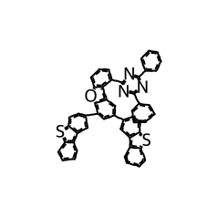 c1ccc(-c2nc(-c3ccccc3)nc(-c3cccc4oc5c(-c6ccc7sc8ccccc8c7c6)cc(-c6ccc7sc8ccccc8c7c6)cc5c34)n2)cc1